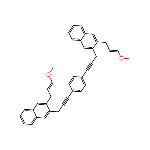 COC=CCc1cc2ccccc2cc1CC#Cc1ccc(C#CCc2cc3ccccc3cc2CC=COC)cc1